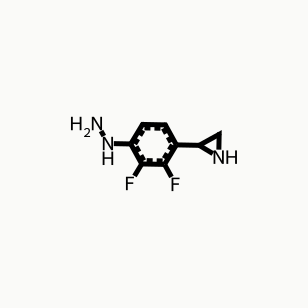 NNc1ccc(C2CN2)c(F)c1F